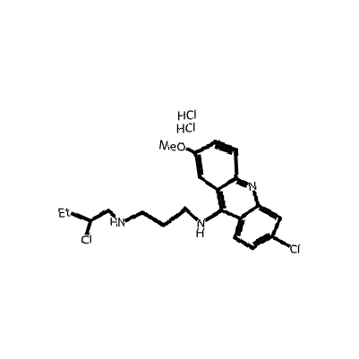 CCC(Cl)CNCCCNc1c2ccc(Cl)cc2nc2ccc(OC)cc12.Cl.Cl